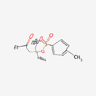 CCCCS(CCCC)(CC(=O)CC)OS(=O)(=O)c1ccc(C)cc1